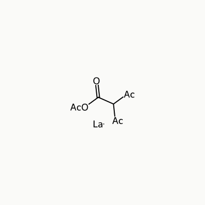 CC(=O)OC(=O)C(C(C)=O)C(C)=O.[La]